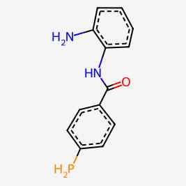 Nc1ccccc1NC(=O)c1ccc(P)cc1